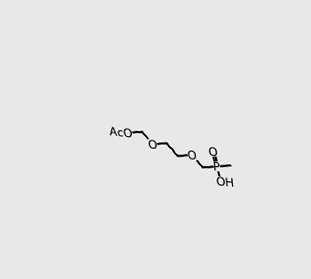 CC(=O)OCOCCOCP(C)(=O)O